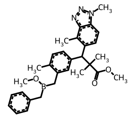 COB(Cc1ccccc1)Cc1cc(C(c2ccc3c(nnn3C)c2C)C(C)(C)C(=O)OC)ccc1C